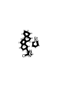 CCN1C=CC=CC1.Clc1nsnc1C1=Cc2c(ccc3c2CCc2ccccc2-3)CC1